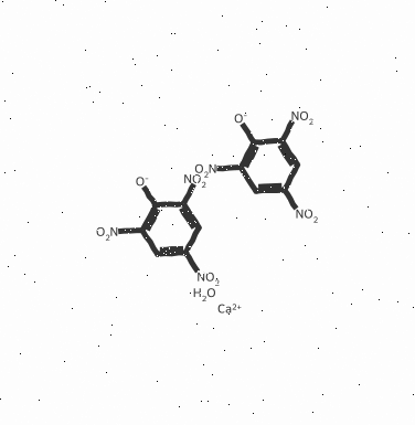 O.O=[N+]([O-])c1cc([N+](=O)[O-])c([O-])c([N+](=O)[O-])c1.O=[N+]([O-])c1cc([N+](=O)[O-])c([O-])c([N+](=O)[O-])c1.[Ca+2]